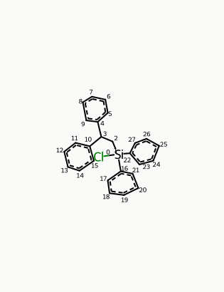 Cl[Si](CC(c1ccccc1)c1ccccc1)(c1ccccc1)c1ccccc1